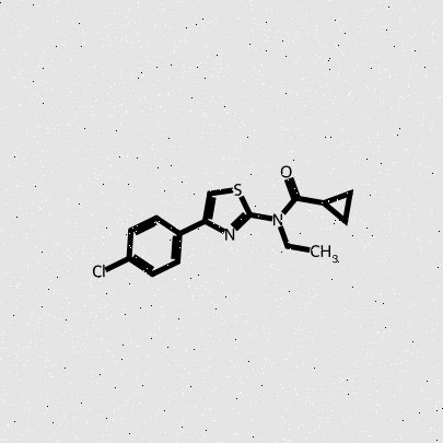 CCN(C(=O)C1CC1)c1nc(-c2ccc(Cl)cc2)cs1